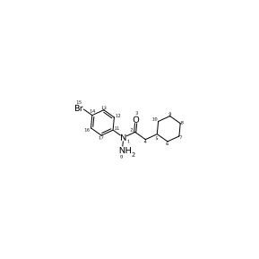 NN(C(=O)CC1CCCCC1)c1ccc(Br)cc1